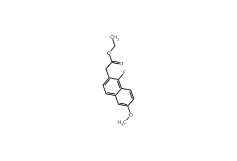 CCOC(=O)Cc1ccc2cc(OC)ccc2c1F